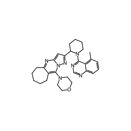 Cc1cccc2ncnc(N3CCCCC3c3cc4nc5c(c(N6CCOCC6)n4n3)CCCCC5)c12